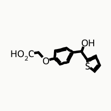 O=C(O)COc1ccc(C(O)c2cccs2)cc1